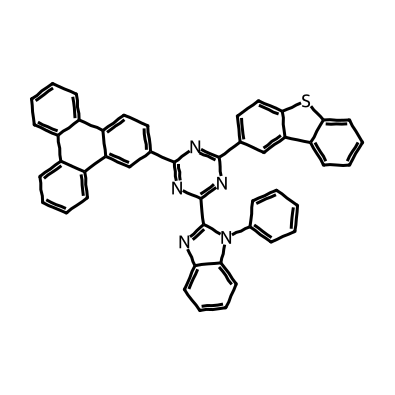 c1ccc(-n2c(-c3nc(-c4ccc5sc6ccccc6c5c4)nc(-c4ccc5c6ccccc6c6ccccc6c5c4)n3)nc3ccccc32)cc1